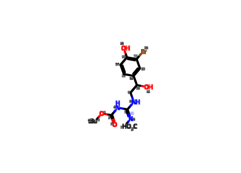 CC(C)(C)OC(=O)N/C(=N\C(=O)O)NCC(O)c1ccc(O)c(Br)c1